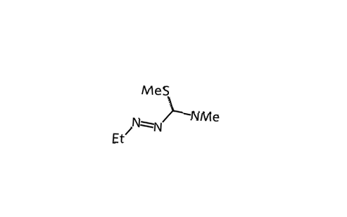 CCN=NC(NC)SC